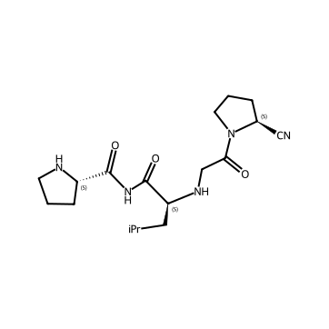 CC(C)C[C@H](NCC(=O)N1CCC[C@H]1C#N)C(=O)NC(=O)[C@@H]1CCCN1